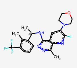 Cc1c([C@@H](C)Nc2nnc(C)c3nc(F)c(N4CCOCC4)cc23)cccc1C(F)(F)F